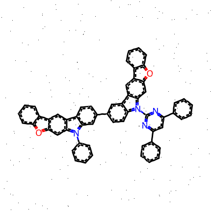 c1ccc(-c2cc(-c3ccccc3)nc(-n3c4ccc(-c5ccc6c7cc8c(cc7n(-c7ccccc7)c6c5)oc5ccccc58)cc4c4cc5c(cc43)oc3ccccc35)n2)cc1